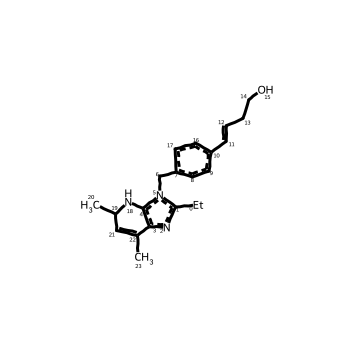 CCc1nc2c(n1Cc1ccc(/C=C/CCO)cc1)NC(C)C=C2C